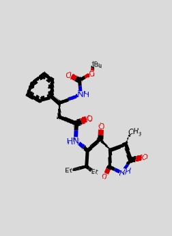 CCC(CC)C(NC(=O)C[C@H](NC(=O)OC(C)(C)C)c1ccccc1)C(=O)[C@@H]1C(=O)NC(=O)[C@H]1C